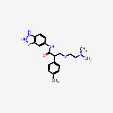 Cc1ccc(C(CNCCN(C)C)C(=O)Nc2ccc3c(c2)SNN3)cc1